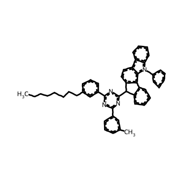 CCCCCCCCc1cccc(-c2nc(-c3cccc(C)c3)nc(C3c4ccccc4-c4c3ccc3c5ccccc5n(-c5ccccc5)c43)n2)c1